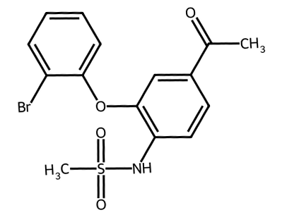 CC(=O)c1ccc(NS(C)(=O)=O)c(Oc2ccccc2Br)c1